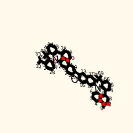 CC(C)c1cccc(N(c2ccc3cc4c(cc3c2)oc2cc3cc(N(c5cccc(C(C)C)c5)c5c(-c6ccccc6)cccc5C(C)(C)C)ccc3cc24)c2c(-c3ccccc3)cccc2C(C)(C)C)c1